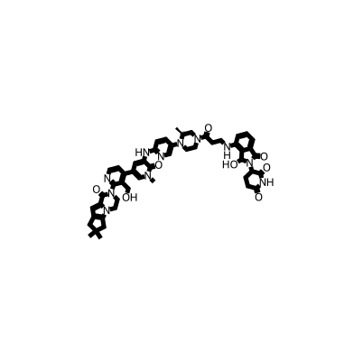 C[C@H]1CN(C(=O)CCNc2cccc3c2C(O)N(C2CCC(=O)NC2=O)C3=O)CCN1c1ccc(Nc2cc(-c3ccnc(N4CCn5c(cc6c5CC(C)(C)C6)C4=O)c3CO)cn(C)c2=O)nc1